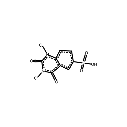 O=c1c2cc(S(=O)(=O)O)ccc2n(Cl)c(=O)n1Cl